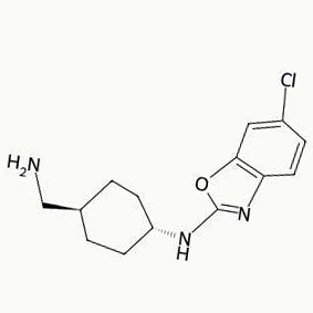 NC[C@H]1CC[C@H](Nc2nc3ccc(Cl)cc3o2)CC1